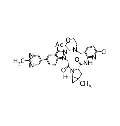 CC(=O)c1nn(CC(=O)N2[C@H](C(=O)Nc3nc(Cl)ccc3CN3CCOCC3)C[C@@]3(C)C[C@@H]23)c2ccc(-c3cnc(C)nc3)cc12